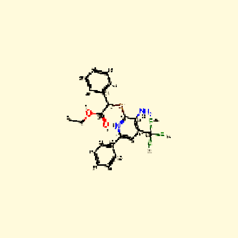 CCOC(=O)C(Sc1nc(-c2ccccc2)cc(C(F)(F)F)c1N)c1ccccc1